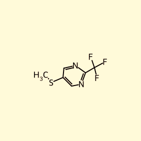 CSc1cnc(C(F)(F)F)nc1